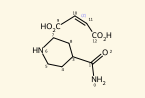 NC(=O)C1CCNCC1.O=C(O)/C=C\C(=O)O